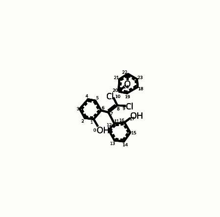 Oc1ccccc1C(=C(Cl)Cl)c1ccccc1O.c1cc2cc(c1)O2